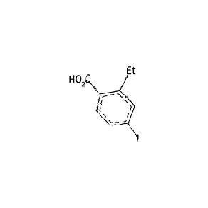 CCc1cc(I)ccc1C(=O)O